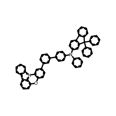 c1ccc(N(c2ccc(-c3cccc(-c4ccc5c(c4)-n4c6ccccc6c6cccc(c64)O5)c3)cc2)c2ccc3c(c2)C(c2ccccc2)(c2ccccc2)c2ccccc2-3)cc1